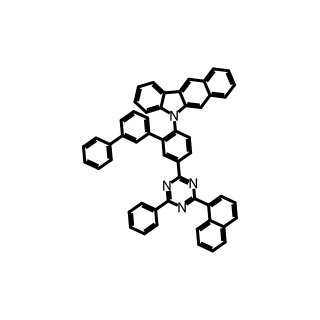 c1ccc(-c2cccc(-c3cc(-c4nc(-c5ccccc5)nc(-c5cccc6ccccc56)n4)ccc3-n3c4ccccc4c4cc5ccccc5cc43)c2)cc1